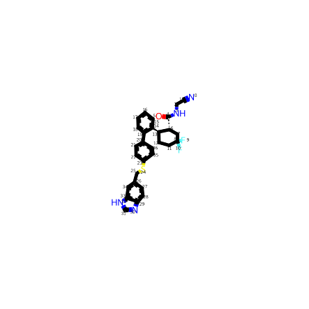 N#CCNC(=O)[C@@H]1CC(F)(F)CC[C@H]1c1ccccc1-c1ccc(SCc2ccc3nc[nH]c3c2)cc1